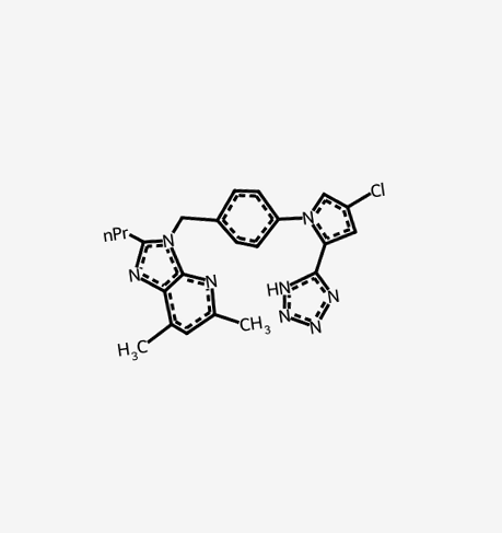 CCCc1nc2c(C)cc(C)nc2n1Cc1ccc(-n2cc(Cl)cc2-c2nnn[nH]2)cc1